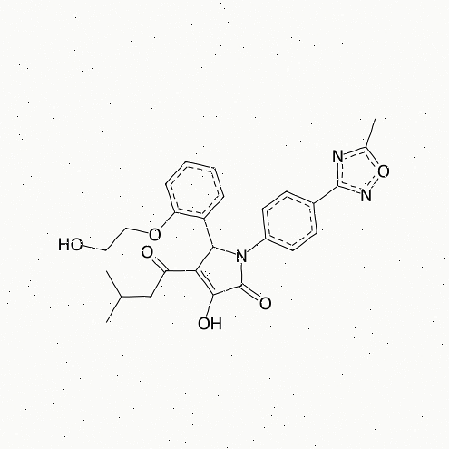 Cc1nc(-c2ccc(N3C(=O)C(O)=C(C(=O)CC(C)C)C3c3ccccc3OCCO)cc2)no1